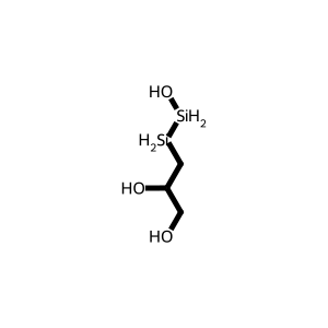 OCC(O)C[SiH2][SiH2]O